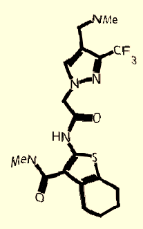 CNCc1cn(CC(=O)Nc2sc3c(c2C(=O)NC)CCCC3)nc1C(F)(F)F